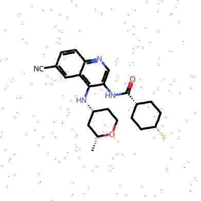 C[C@@H]1C[C@H](Nc2c(NC(=O)[C@H]3CC[C@@H](F)CC3)cnc3ccc(C#N)cc23)CCO1